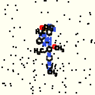 CCc1cc(Nc2nc(Nc3ccc4nccnc4c3P(C)(C)=O)c3ccccc3n2)c(OC)cc1N1CCC(N2CCN(C)CC2)CC1